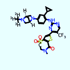 [2H]C([2H])([2H])N1C[C@H]2C[C@@H]1CN2c1ccc(Nc2ncc(C(F)(F)F)c(-c3cc4c(s3)C(=O)N(C)CCS4(=O)=O)n2)c(C2CC2)c1